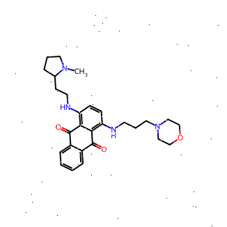 CN1CCCC1CCNc1ccc(NCCCN2CCOCC2)c2c1C(=O)c1ccccc1C2=O